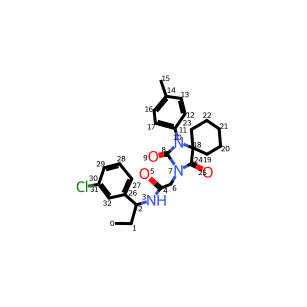 CCC(NC(=O)CN1C(=O)N(c2ccc(C)cc2)C2(CCCCC2)C1=O)c1cccc(Cl)c1